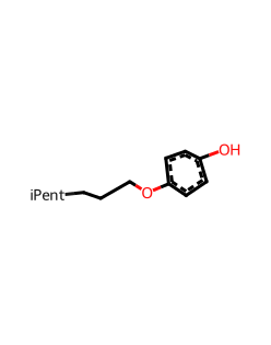 CCCC(C)CCCOc1ccc(O)cc1